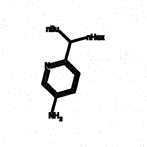 CCCCCCC(CCCC)c1ccc(N)cn1